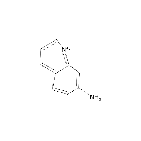 Nc1ccc2c(c1)=[N+]C=CC=2